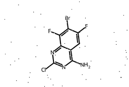 Nc1nc(Cl)nc2c(F)c(Br)c(F)cc12